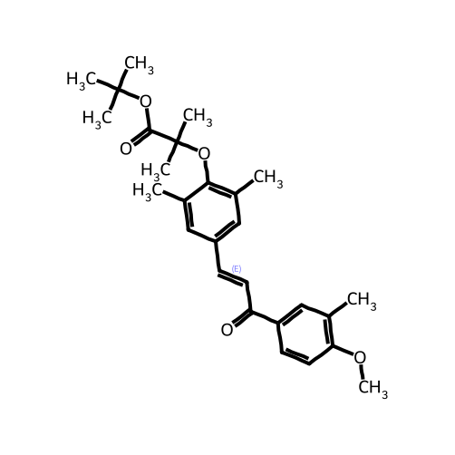 COc1ccc(C(=O)/C=C/c2cc(C)c(OC(C)(C)C(=O)OC(C)(C)C)c(C)c2)cc1C